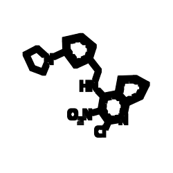 O=[N+]([O-])c1c(Cl)nc2ccccc2c1NCc1cccc(N2CCCC2)c1